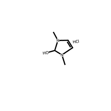 CN1C=CN(C)C1O.Cl